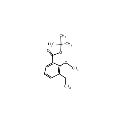 CCc1cccc(C(=O)OC(C)(C)C)c1OC